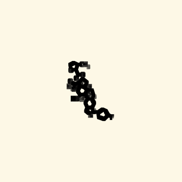 CC1C=COC1C(=O)O[C@]1(C(=O)S)CC[C@H]2[C@@H]3CCC4=Cc5c(cnn5-c5ccc(F)cc5)C[C@]4(C)[C@H]3[C@@H](O)C[C@@]21C